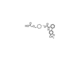 Cc1ccc(-c2ccccc2NC(=O)OC[C@H]2CC[C@H](COCC(=O)O)CC2)cc1F